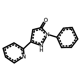 O=c1cc(-c2ccccn2)[nH]n1-c1ccccc1